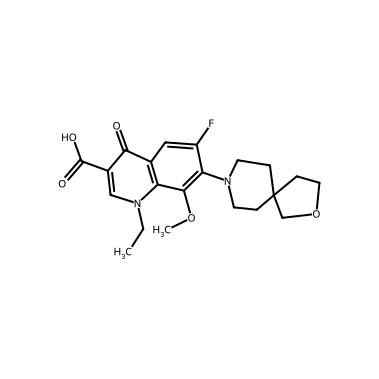 CCn1cc(C(=O)O)c(=O)c2cc(F)c(N3CCC4(CCOC4)CC3)c(OC)c21